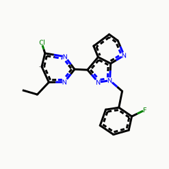 CCc1[c]c(Cl)nc(-c2nn(Cc3ccccc3F)c3ncccc23)n1